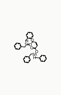 O=C(/C=C\C(=O)[O][SnH]([CH2]c1ccccc1)[CH2]c1ccccc1)[O][SnH]([CH2]c1ccccc1)[CH2]c1ccccc1